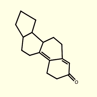 O=C1C=C2CCC3C(=C2CC1)CCC1CCCC13